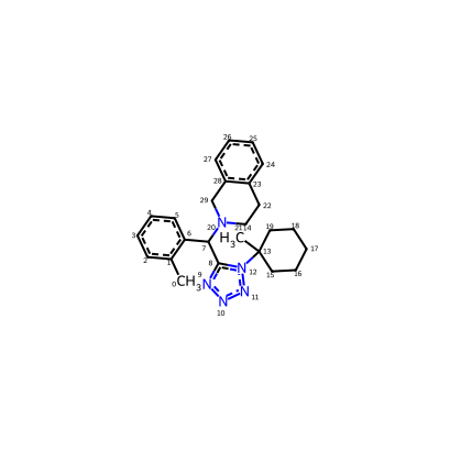 Cc1ccccc1C(c1nnnn1C1(C)CCCCC1)N1CCc2ccccc2C1